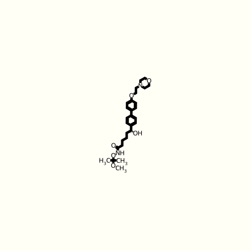 COC(C)(C)ONC(=O)CCCC[C@@H](O)c1ccc(-c2ccc(OCCN3CCOCC3)cc2)cc1